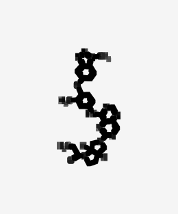 C=CC(=O)N1CC[C@H]2CN(c3ncc4ncnc(Nc5ccc(Oc6ccc7c(c6)nnn7C)c(C)c5)c4n3)C[C@H]21